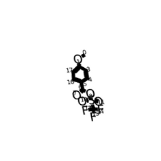 COc1ccc(C(=O)OS(=O)(=O)C(F)(F)F)cc1